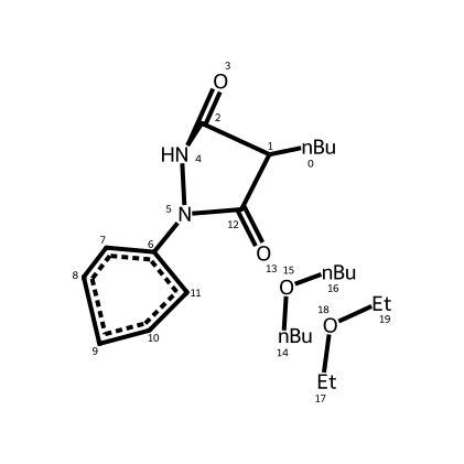 CCCCC1C(=O)NN(c2ccccc2)C1=O.CCCCOCCCC.CCOCC